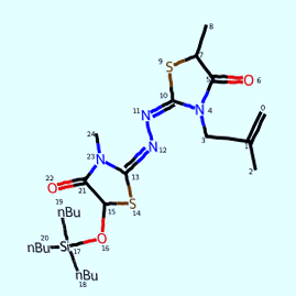 C=C(C)CN1C(=O)C(C)S/C1=N/N=C1/SC(O[Si](CCCC)(CCCC)CCCC)C(=O)N1C